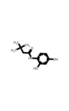 CC(C)(C)CC(=O)Nc1ccc(O)cc1O